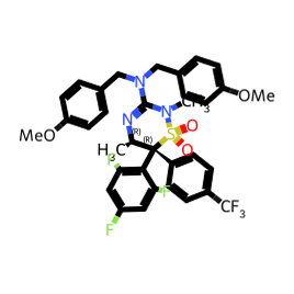 COc1ccc(CN(Cc2ccc(OC)cc2)C2=N[C@H](C)[C@@](c3ccc(C(F)(F)F)cc3)(c3c(F)cc(F)cc3F)S(=O)(=O)N2C)cc1